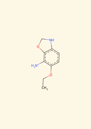 CCOc1ccc2c(c1N)OCN2